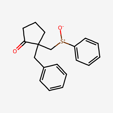 O=C1CCCC1(Cc1ccccc1)C[S+]([O-])c1ccccc1